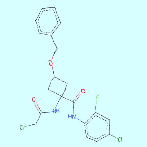 O=C(CCl)NC1(C(=O)Nc2ccc(Cl)cc2F)CC(OCc2ccccc2)C1